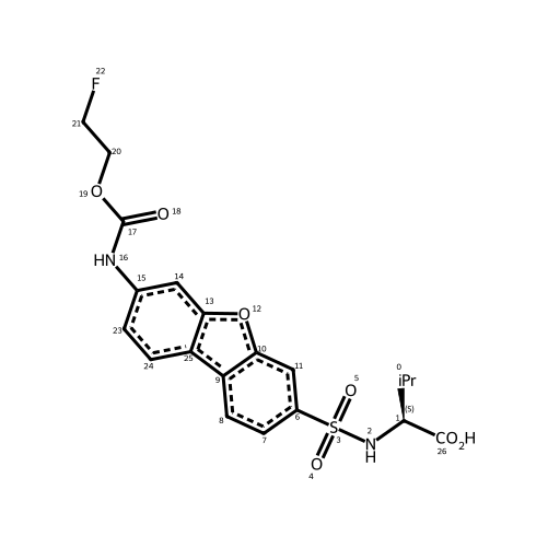 CC(C)[C@H](NS(=O)(=O)c1ccc2c(c1)oc1cc(NC(=O)OCCF)ccc12)C(=O)O